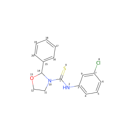 S=C(Nc1cccc(Cl)c1)N1CCOC1c1ccccc1